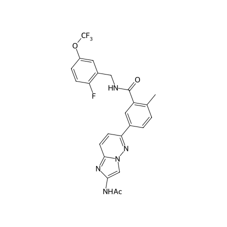 CC(=O)Nc1cn2nc(-c3ccc(C)c(C(=O)NCc4cc(OC(F)(F)F)ccc4F)c3)ccc2n1